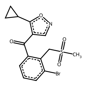 CS(=O)(=O)Cc1c(Br)cccc1C(=O)c1cnoc1C1CC1